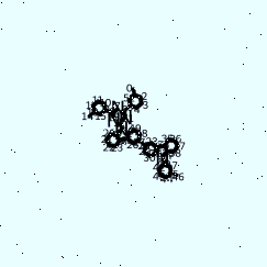 Cc1cccc(-c2nc(-c3cccc(C)c3)nc(-n3c4ccccc4c4cc(-c5ccc6c(c5)c5ccccc5n6-c5cccc(C)c5)ccc43)n2)c1